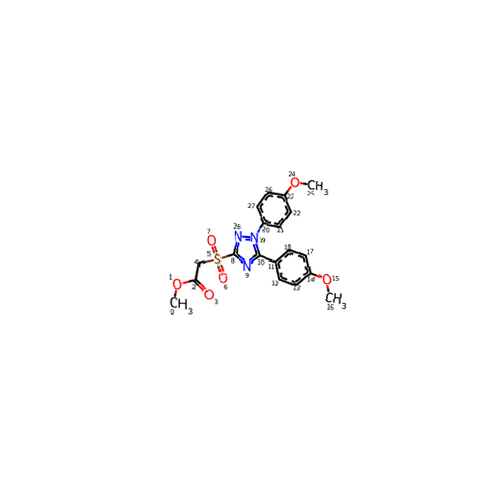 COC(=O)CS(=O)(=O)c1nc(-c2ccc(OC)cc2)n(-c2ccc(OC)cc2)n1